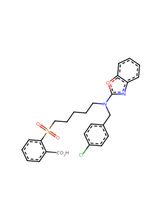 O=C(O)c1ccccc1S(=O)(=O)CCCCCN(Cc1ccc(Cl)cc1)c1nc2ccccc2o1